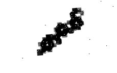 NCc1ccnc(Oc2cccc(C(=O)Nc3ccc(Br)cc3)c2)c1